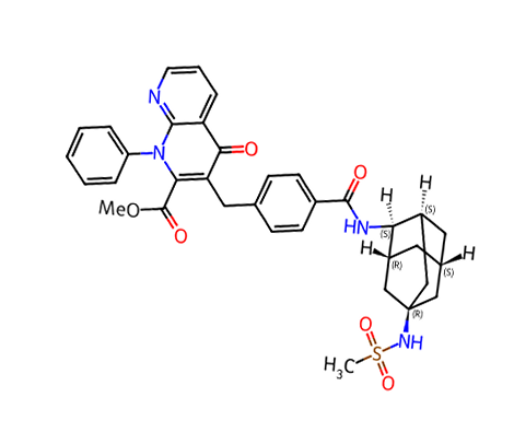 COC(=O)c1c(Cc2ccc(C(=O)N[C@@H]3[C@@H]4C[C@@H]5C[C@H]3C[C@](NS(C)(=O)=O)(C5)C4)cc2)c(=O)c2cccnc2n1-c1ccccc1